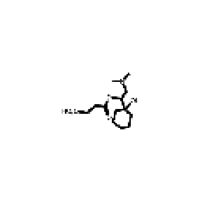 CN(C)CC(OC(=O)CCC(=O)O)C1(O)CCCCC1